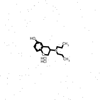 CCCN(CCC)C1COc2ccc(O)cc2C1.Cl.Cl